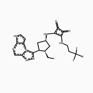 CC[C@@H]1C[C@H](Nc2c(NCCC(F)(F)F)c(=O)c2=O)CC1c1nnc2cnc3[nH]ccc3n12